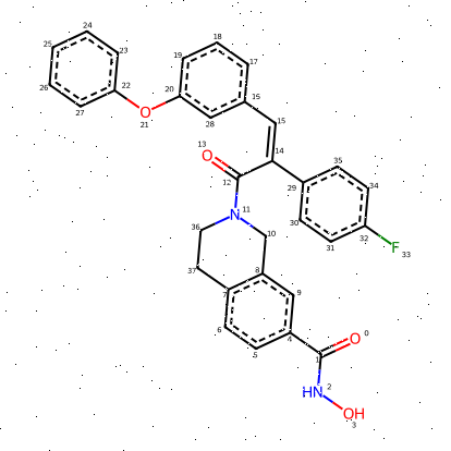 O=C(NO)c1ccc2c(c1)CN(C(=O)/C(=C\c1cccc(Oc3ccccc3)c1)c1ccc(F)cc1)CC2